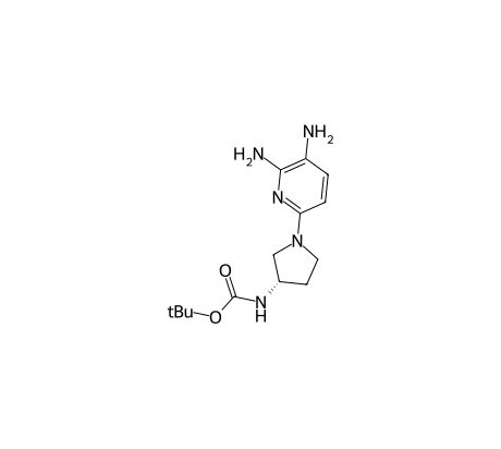 CC(C)(C)OC(=O)N[C@H]1CCN(c2ccc(N)c(N)n2)C1